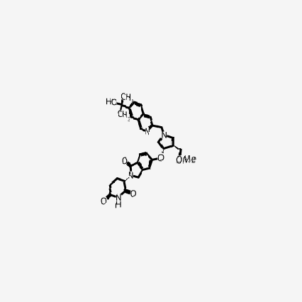 COC[C@@H]1CN(Cc2cc3ccc(C(C)(C)O)cc3cn2)C[C@H]1Oc1ccc2c(c1)CN([C@H]1CCC(=O)NC1=O)C2=O